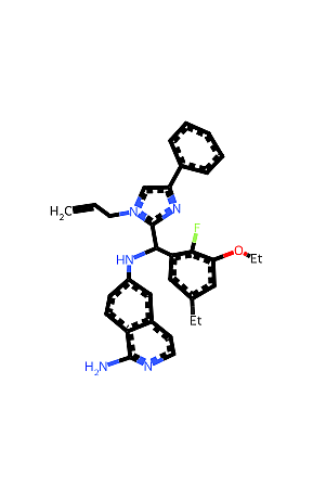 C=CCn1cc(-c2ccccc2)nc1C(Nc1ccc2c(N)nccc2c1)c1cc(CC)cc(OCC)c1F